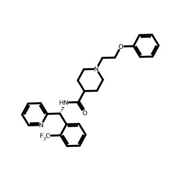 O=C(N[C@@H](c1ccccn1)c1ccccc1C(F)(F)F)C1CCN(CCOc2ccccc2)CC1